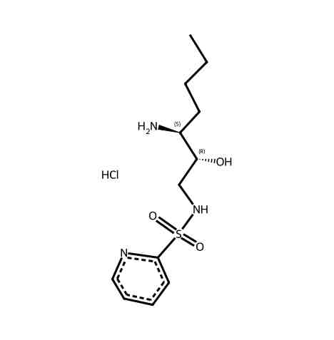 CCCC[C@H](N)[C@H](O)CNS(=O)(=O)c1ccccn1.Cl